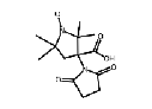 CC1(C)CC(C(=O)O)(N2C(=O)CCC2=O)C(C)(C)N1[O]